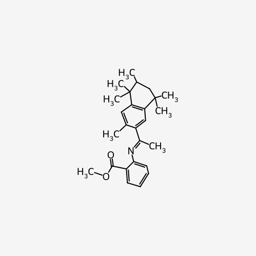 COC(=O)c1ccccc1N=C(C)c1cc2c(cc1C)C(C)(C)C(C)CC2(C)C